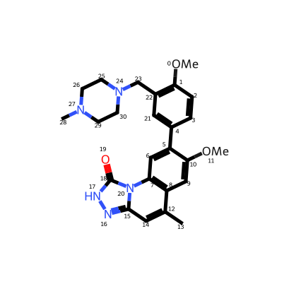 COc1ccc(-c2cc3c(cc2OC)c(C)cc2n[nH]c(=O)n23)cc1CN1CCN(C)CC1